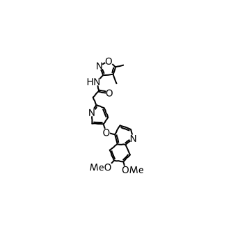 COc1cc2nccc(Oc3ccc(CC(=O)Nc4noc(C)c4C)nc3)c2cc1OC